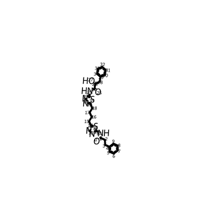 O=C(CCc1ccccc1)Nc1nnc(CCCCc2nnc(NC(=O)[C@@H](O)Cc3ccccc3)s2)s1